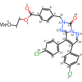 COCCOC(=O)c1ccc(Cn2nc3c(-c4ccc(Cl)cc4)c(-c4ccc(Cl)cc4)cnn3c2=O)cc1